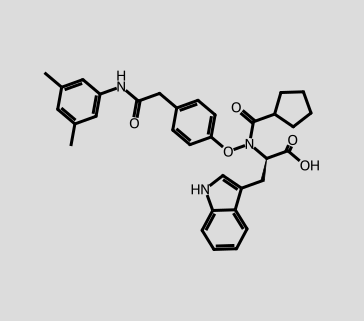 Cc1cc(C)cc(NC(=O)Cc2ccc(ON(C(=O)C3CCCC3)[C@H](Cc3c[nH]c4ccccc34)C(=O)O)cc2)c1